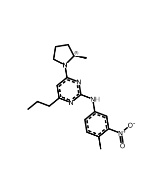 CCCc1cc(N2CCC[C@H]2C)nc(Nc2ccc(C)c([N+](=O)[O-])c2)n1